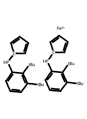 CC(C)(C)c1cccc(P[c-]2cccc2)c1C(C)(C)C.CC(C)(C)c1cccc(P[c-]2cccc2)c1C(C)(C)C.[Fe+2]